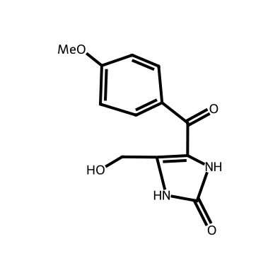 COc1ccc(C(=O)c2[nH]c(=O)[nH]c2CO)cc1